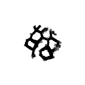 CC1(C)Oc2ccc(C#N)cc2C(N(/C(N)=N\C#N)c2ccccc2Cl)C1O